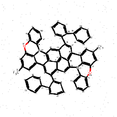 FC(F)(F)c1cc2c3c(c1)-c1cc(-c4ccccc4-c4ccccc4)c4cc5c6c(cc(-c7ccccc7-c7ccccc7)c7cc(c1c4c76)B3c1ccccc1O2)-c1cc(C(F)(F)F)cc2c1B5c1ccccc1O2